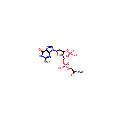 CNc1nc2c(ncn2[C@H]2C[C@@H](OP(=O)(O)O)[C@@H](COP(=O)(O)OCC(=O)OC)O2)c(=O)[nH]1